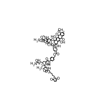 COc1cccc2c1C(=O)c1c(O)c3c(c(O)c1C2=O)C[C@@](O)(C(=O)N1CCN(C(=O)OCc2ccc(NC(=O)[C@H](CCCNC(N)=O)NC(=O)[C@@H](NC(=O)CCCCCN4C(=O)C=CC4=O)C(C)C)cc2)CC1)C[C@@H]3O[C@H]1C[C@H]2[C@H](O[C@@H]3[C@@H](OC)OCCN32)[C@H](C)O1